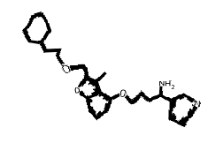 Cc1c(COCCC2CCCCC2)oc2cccc(OCCCC(N)c3cccnc3)c12